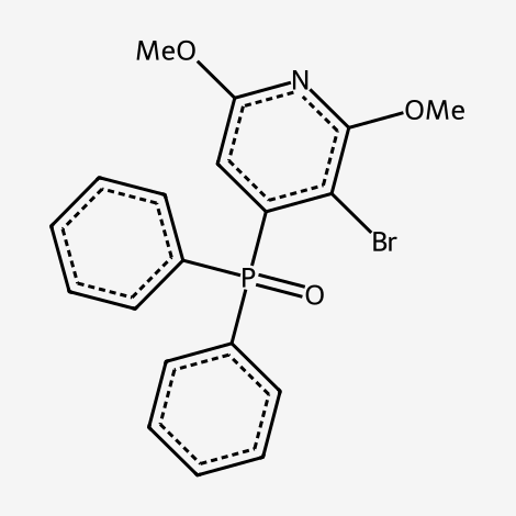 COc1cc(P(=O)(c2ccccc2)c2ccccc2)c(Br)c(OC)n1